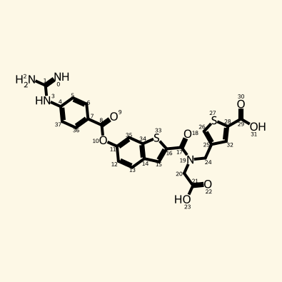 N=C(N)Nc1ccc(C(=O)Oc2ccc3cc(C(=O)N(CC(=O)O)Cc4csc(C(=O)O)c4)sc3c2)cc1